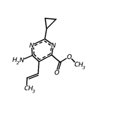 C/C=C/c1c(N)nc(C2CC2)nc1C(=O)OC